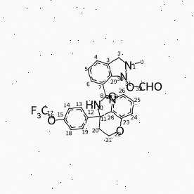 CN1Cc2cccc(C(=O)NC3(c4ccc(OC(F)(F)F)cc4)CCOc4cccnc43)c2N1OC=O